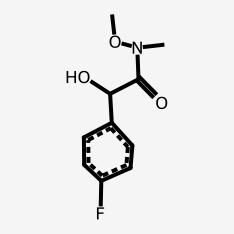 CON(C)C(=O)C(O)c1ccc(F)cc1